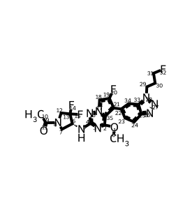 COc1nc(N[C@@H]2CN(C(C)=O)CC2(F)F)nn2cc(F)c(-c3ccc4nnn(CCCF)c4c3)c12